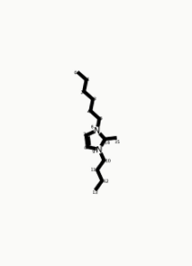 CCCCCCN1C=CN(CCCC)C1C